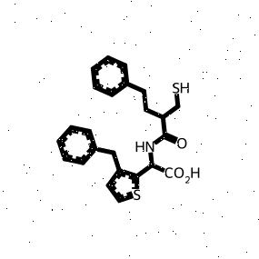 O=C(NC(C(=O)O)c1sccc1Cc1ccccc1)C(CS)CCc1ccccc1